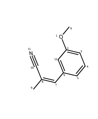 COc1cccc(/C=C(/C)C#N)c1